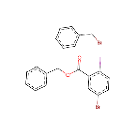 BrCc1ccccc1.O=C(OCc1ccccc1)c1cc(Br)ccc1I